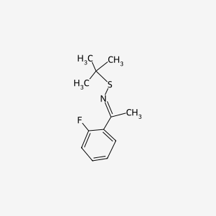 CC(=NSC(C)(C)C)c1ccccc1F